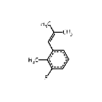 CC(C)=Cc1cccc(F)c1C